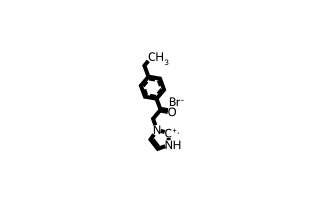 CCc1ccc(C(=O)CN2[C+]NC=C2)cc1.[Br-]